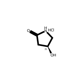 Cl.O=C1C[C@H](O)CN1